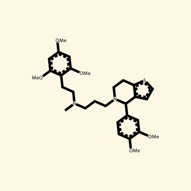 COc1cc(OC)c(CCN(C)CCCN2CCc3sccc3C2c2ccc(OC)c(OC)c2)c(OC)c1